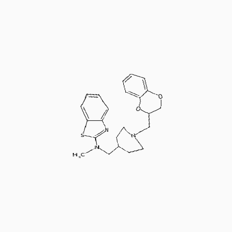 CN(CC1CCN(CC2COc3ccccc3O2)CC1)c1nc2ccccc2s1